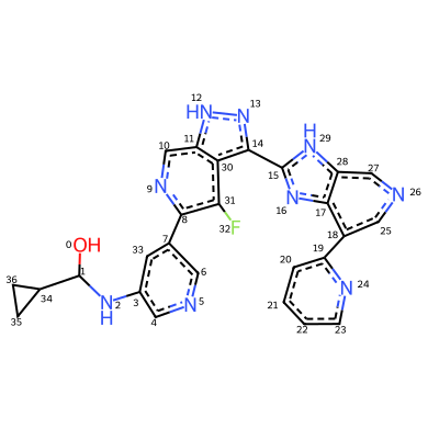 OC(Nc1cncc(-c2ncc3[nH]nc(-c4nc5c(-c6ccccn6)cncc5[nH]4)c3c2F)c1)C1CC1